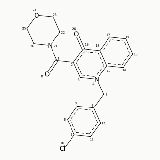 O=C(c1cn(Cc2ccc(Cl)cc2)c2ccccc2c1=O)N1CCOCC1